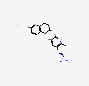 CCN(C)/C=N/c1cc(Br)c(OC2CCc3cc(OC)ccc3C2)nc1C